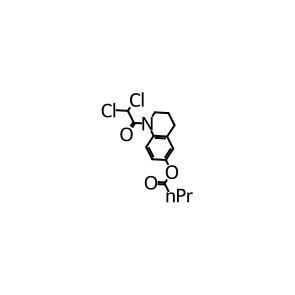 CCCC(=O)Oc1ccc2c(c1)CCCN2C(=O)C(Cl)Cl